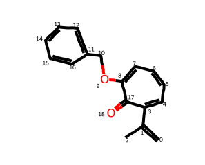 C=C(C)c1ccccc(OCc2ccccc2)c1=O